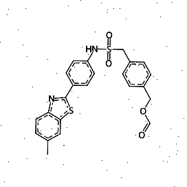 Cc1ccc2nc(-c3ccc(NS(=O)(=O)Cc4ccc(COC=O)cc4)cc3)sc2c1